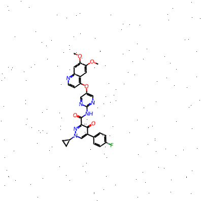 COc1cc2nccc(Oc3cnc(NC(=O)c4nn(C5CC5)cc(-c5ccc(F)cc5)c4=O)nc3)c2cc1OC